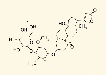 COC1CC(OC2CCC3(C=O)C(CCC4C3CCC3(C)C(C5=CC(=O)OC5)CCC43O)C2)OC(C)C1OC1OC(CO)C(O)C(O)C1O